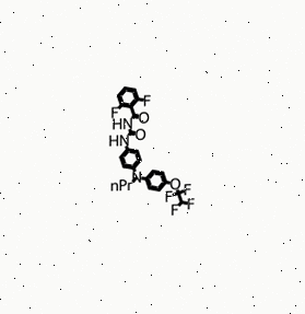 CCCN(c1ccc(NC(=O)NC(=O)c2c(F)cccc2F)cc1)c1ccc(OC(F)(F)C(F)F)cc1